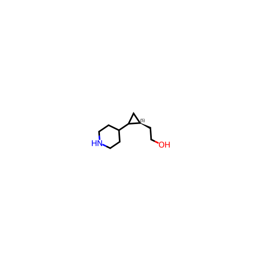 OCC[C@@H]1CC1C1CCNCC1